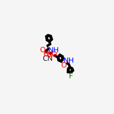 N#CCOC(=O)[C@@H](CCc1ccccc1)NC(=O)OCc1ccc(NC(=O)Cc2ccc(F)cc2)cc1